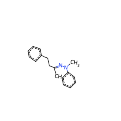 CC(CCc1ccccc1)=NN(C)c1ccccc1